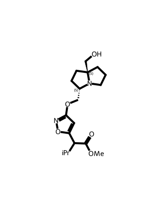 COC(=O)C(c1cc(OC[C@@H]2CC[C@]3(CO)CCCN23)no1)C(C)C